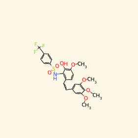 COc1ccc(/C=C\c2cc(OC)c(OC)c(OC)c2)c(NS(=O)(=O)c2ccc(C(F)(F)F)cc2)c1O